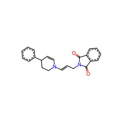 O=C1c2ccccc2C(=O)N1CC=CN1C=CC(c2ccccc2)CC1